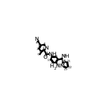 Cc1cc(C#N)cnc1C(=O)Nc1ccc(N)c(C(=N)n2cccn2)c1